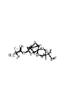 CC(F)(F)C(=O)OC12CC3CC(C1)C1(OCC(F)(C(F)CF)CO1)C(C3)C2